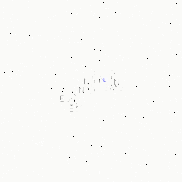 CCOP(=S)(CN[S+]([O-])N(C)C(=O)O/N=C(\SC)C(=O)N(C)C)OCC